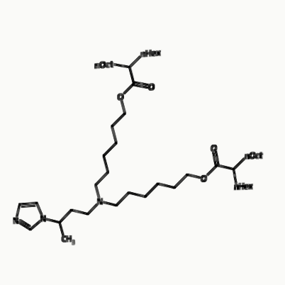 CCCCCCCCC(CCCCCC)C(=O)OCCCCCCN(CCCCCCOC(=O)C(CCCCCC)CCCCCCCC)CCC(C)n1ccnc1